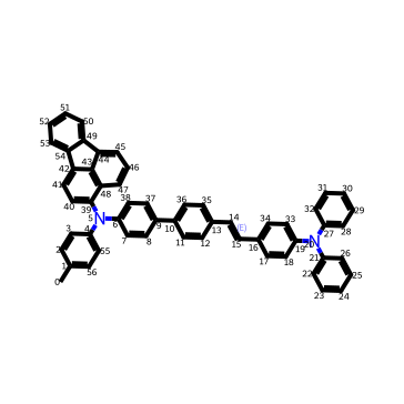 Cc1ccc(N(c2ccc(-c3ccc(/C=C/c4ccc(N(c5ccccc5)c5ccccc5)cc4)cc3)cc2)c2ccc3c4c(cccc24)-c2ccccc2-3)cc1